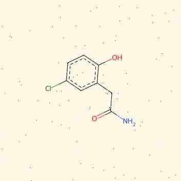 NC(=O)Cc1cc(Cl)ccc1O